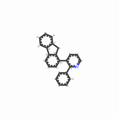 c1ccc(-c2ncccc2-c2cccc3c2Cc2ccccc2-3)cc1